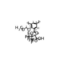 COCOc1c(I)cc(I)cc1C(=O)OC(CC(=O)O)(C(F)(F)F)C(F)(F)F